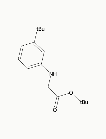 CC(C)(C)OC(=O)CNc1cccc(C(C)(C)C)c1